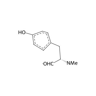 CN[C@H]([C]=O)Cc1ccc(O)cc1